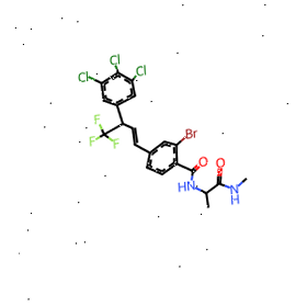 CNC(=O)C(C)NC(=O)c1ccc(/C=C/C(c2cc(Cl)c(Cl)c(Cl)c2)C(F)(F)F)cc1Br